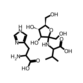 CC(C)C(NC1(CO)O[C@H](CO)[C@@H](O)[C@@H]1O)C(=O)O.NC(Cc1c[nH]cn1)C(=O)O